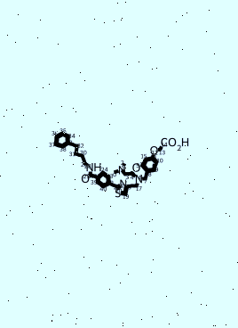 CN(C)CC(=O)N(Cc1ccc(OCC(=O)O)cc1)Cc1csc(-c2ccc(C(=O)NCCCCc3ccccc3)cc2)n1